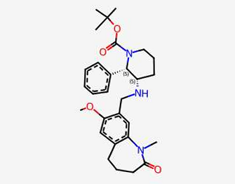 COc1cc2c(cc1CN[C@H]1CCCN(C(=O)OC(C)(C)C)[C@H]1c1ccccc1)N(C)C(=O)CCC2